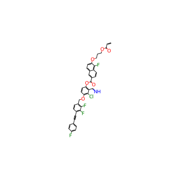 C=CC(=O)OCCCOc1ccc2cc(C(=O)Oc3ccc(OCc4ccc(C#Cc5ccc(F)cc5)c(F)c4F)c(Cl)c3C=N)ccc2c1F